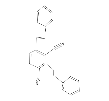 N#Cc1ccc(/C=C/c2ccccc2)c(C#N)c1/C=C/c1ccccc1